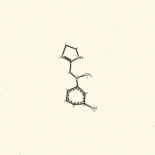 CN(CC1=NCCN1)c1cccc(O)c1